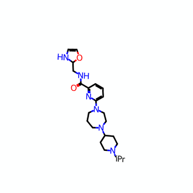 CC(C)N1CCC(N2CCCN(c3cccc(C(=O)NCC4NC=CO4)n3)CC2)CC1